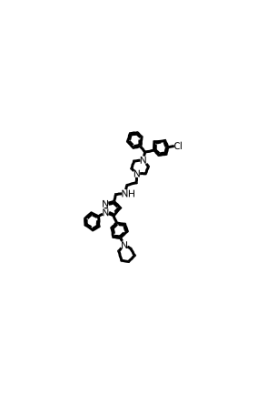 Clc1ccc(C(c2ccccc2)N2CCN(CCNCc3cc(-c4ccc(N5CCCCC5)cc4)n(-c4ccccc4)n3)CC2)cc1